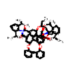 C=C/C1=C/C/C(=C\C)Oc2cc3c(=O)n(-c4c(C(C)C)cccc4C(C)C)c(=O)c4cc5oc6ccccc6c6ccccc6oc6cc7c(=O)n(-c8c(C(C)C)cccc8C(C)C)c(=O)c8cc(c9c2c(c34)c5c6c9c87)O1